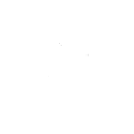 CCCC1CCC1CC(CC)CCCCN